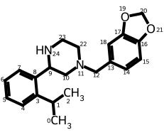 CC(C)c1ccccc1C1CN(Cc2ccc3c(c2)OCO3)CCN1